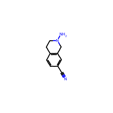 N#Cc1ccc2c(c1)CN(N)CC2